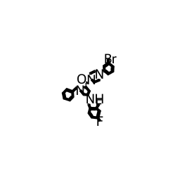 O=C([C@@H]1C[C@H](NCc2ccc(F)cc2F)CN1Cc1ccccc1)N1CCN(c2cccc(Br)c2)CC1